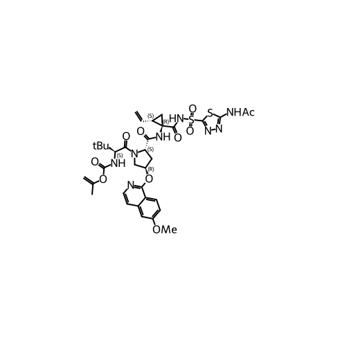 C=C[C@@H]1C[C@]1(NC(=O)[C@@H]1C[C@@H](Oc2nccc3cc(OC)ccc23)CN1C(=O)[C@@H](NC(=O)OC(=C)C)C(C)(C)C)C(=O)NS(=O)(=O)c1nnc(NC(C)=O)s1